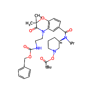 CC(C)N(C(=O)c1ccc2c(c1)N(CCNC(=O)OCc1ccccc1)C(=O)C(C)(C)O2)[C@@H]1CCCN(OC(=O)C(C)(C)C)C1